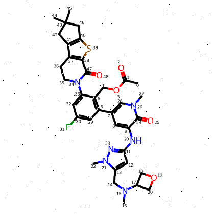 CC(=O)OCc1c(-c2cc(Nc3cc(CN(C)C4COC4)n(C)n3)c(=O)n(C)c2)cc(F)cc1N1CCc2c(sc3c2CC(C)(C)C3)C1=O